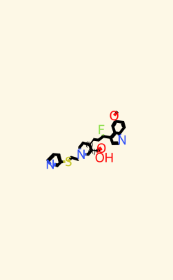 COc1ccc2nccc(C(F)CC[C@@H]3CCN(CCSc4cccnc4)C[C@@H]3C(=O)O)c2c1